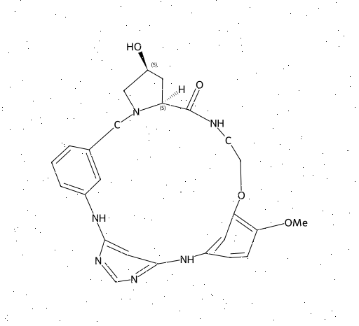 COc1ccc2cc1OCCNC(=O)[C@@H]1C[C@H](O)CN1Cc1cccc(c1)Nc1cc(ncn1)N2